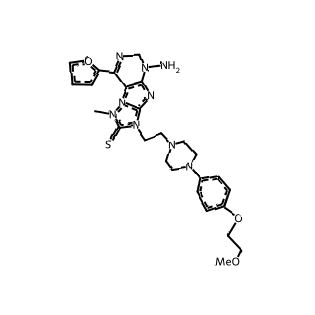 COCCOc1ccc(N2CCN(CCn3c(=S)n(C)n4c5c(nc34)N(N)CN=C5c3ccco3)CC2)cc1